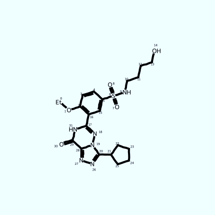 CCOc1ccc(S(=O)(=O)NCCCCO)cc1-c1nn2c(C3CCCC3)nnc2c(=O)[nH]1